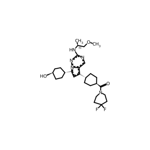 COC[C@H](C)Nc1ncc2c([C@H]3CC[C@H](C(=O)N4CCC(F)(F)CC4)CC3)cc([C@H]3CC[C@H](O)CC3)n2n1